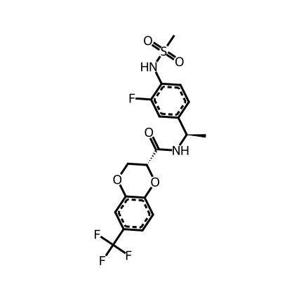 C[C@@H](NC(=O)[C@H]1COc2cc(C(F)(F)F)ccc2O1)c1ccc(NS(C)(=O)=O)c(F)c1